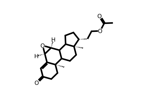 CC(=O)OCC[C@H]1CCC2C3C(CC[C@@]21C)[C@@]1(C)CCC(=O)C=C1[C@H]1O[C@@H]31